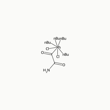 CCC[CH2][Rh]([Cl])([Cl])([CH2]CCC)([CH2]CCC)([CH2]CCC)[C](=O)C(N)=O